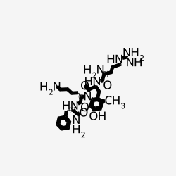 Cc1cc(O)cc2c1CC(NC(=O)[C@H](N)CCCNC(=N)N)C(=O)N2[C@@H](CCCCN)C(=O)N[C@@H](Cc1ccccc1)C(N)=O